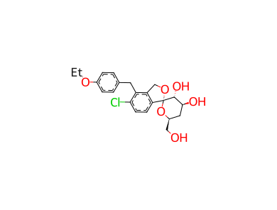 CCOc1ccc(Cc2c(Cl)ccc3c2CO[C@]32O[C@H](CO)C[C@H](O)[C@H]2O)cc1